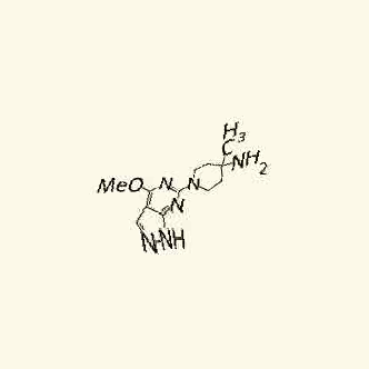 COc1nc(N2CCC(C)(N)CC2)nc2[nH]ncc12